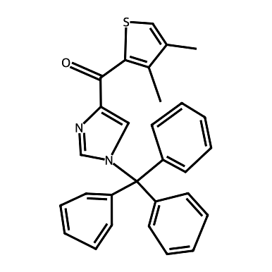 Cc1csc(C(=O)c2cn(C(c3ccccc3)(c3ccccc3)c3ccccc3)cn2)c1C